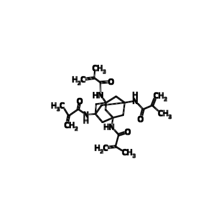 C=C(C)C(=O)NC12CC3(NC(=O)C(=C)C)CC(NC(=O)C(=C)C)(C1)CC(NC(=O)C(=C)C)(C2)C3